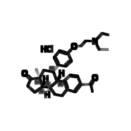 CCN(CC)CCOc1ccc([C@H]2C[C@]3(C)C(=O)CC[C@H]3[C@@H]3CCc4cc(C(C)=O)ccc4[C@H]32)cc1.Cl